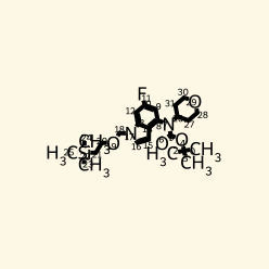 CC(C)(C)OC(=O)N(c1cc(F)cc2c1ccn2COCC[Si](C)(C)C)C1CCOCC1